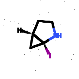 I[C@]12C[C@H]1CCN2